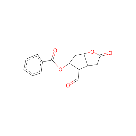 O=CC1C(OC(=O)c2ccccc2)CC2OC(=O)CC21